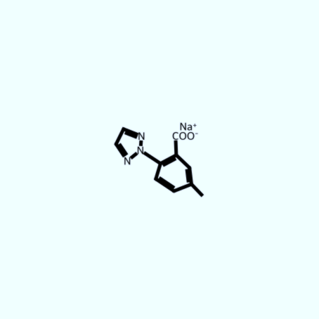 Cc1ccc(-n2nccn2)c(C(=O)[O-])c1.[Na+]